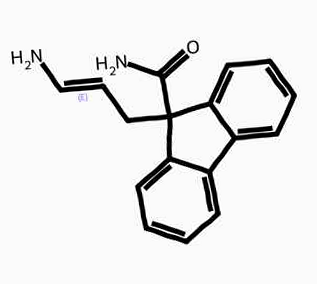 N/C=C/CC1(C(N)=O)c2ccccc2-c2ccccc21